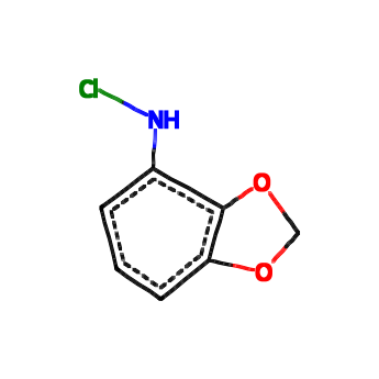 ClNc1cccc2c1OCO2